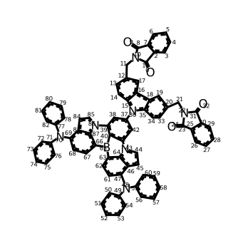 O=C1c2ccccc2C(=O)N1Cc1ccc2c(c1)c1cc(CN3C(=O)c4ccccc4C3=O)ccc1n2-c1cc2c3c(c1)-n1ccc4c(N(c5ccccc5)c5ccccc5)ccc(c41)B3c1ccc(N(c3ccccc3)c3ccccc3)c3ccn-2c13